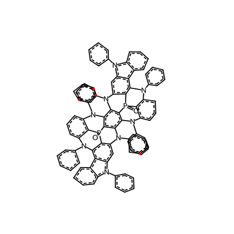 O=P12c3c4cccc3N(c3ccccc3)c3c1c(cc1c3c3ccccc3n1-c1ccccc1)N(c1ccccc1)c1c3c5c(c(c12)N4c1ccccc1)N(c1ccccc1)c1cc2c(c4c1P5(=O)c1c(cccc1N4c1ccccc1)N3c1ccccc1)c1ccccc1n2-c1ccccc1